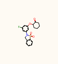 O=C1CCCCC1Oc1cc(F)cc(N2Cc3ccccc3S2(=O)=O)c1